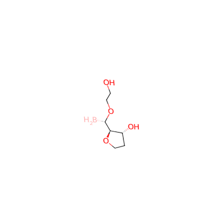 B[C@H](OCCO)[C@@H]1OCC[C@H]1O